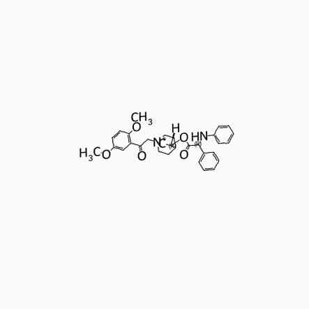 COc1ccc(OC)c(C(=O)C[N+]23CCC(CC2)[C@@H](OC(=O)[C@H](Nc2ccccc2)c2ccccc2)C3)c1